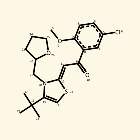 COc1ccc(Cl)cc1C(=O)/C=C1\SC=C(C(C)(C)C)N1CC1CCCO1